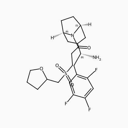 N[C@H](Cc1cc(F)c(F)cc1F)C1C[C@H]2CC[C@@H](C1)N2C(=O)CCS(=O)(=O)CC1CCCO1